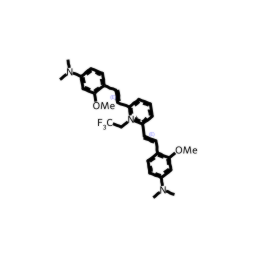 COc1cc(N(C)C)ccc1/C=C/c1cccc(/C=C/c2ccc(N(C)C)cc2OC)[n+]1CC(F)(F)F